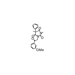 COc1cccc(C(=O)CN2C(=O)N(C)C(=O)C(C)(c3ccccc3)C2=O)c1